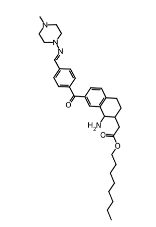 CCCCCCCCOC(=O)CC1CCc2ccc(C(=O)c3ccc(C=NN4CCN(C)CC4)cc3)cc2C1N